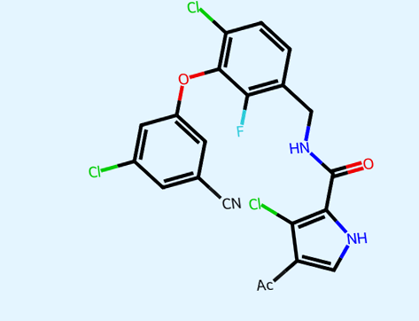 CC(=O)c1c[nH]c(C(=O)NCc2ccc(Cl)c(Oc3cc(Cl)cc(C#N)c3)c2F)c1Cl